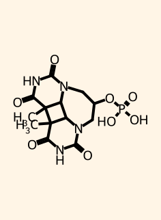 CC12C(=O)NC(=O)N3CC(OP(=O)(O)O)CN4C(=O)NC(=O)C1(C)C4C32